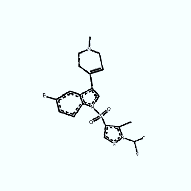 Cc1c(S(=O)(=O)n2cc(C3=CCN(C)CC3)c3cc(F)ccc32)cnn1C(F)F